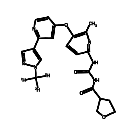 [2H]C([2H])([2H])n1cc(-c2cc(Oc3ccc(NC(=O)NC(=O)C4CCOC4)nc3C)ccn2)cn1